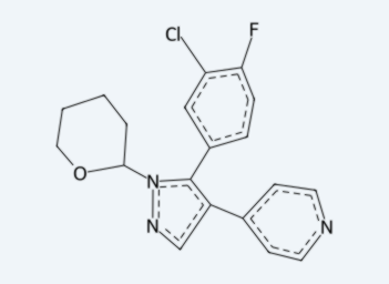 Fc1ccc(-c2c(-c3ccncc3)cnn2C2CCCCO2)cc1Cl